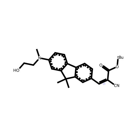 CN(CCO)c1ccc2c(c1)C(C)(C)c1cc(/C=C(/C#N)C(=O)OC(C)(C)C)ccc1-2